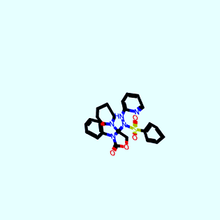 O=C1OCC(N2CCCCC2)(N(Nc2ccccn2)S(=O)(=O)c2ccccc2)N1c1ccccc1